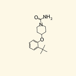 CC(C)(C)c1ccccc1OC1CCN(C(N)=O)CC1